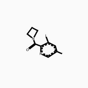 Cc1cnc(C(=O)N2CCC2)c(I)c1